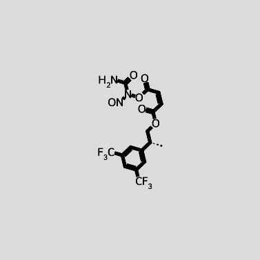 C[C@@H](COC(=O)/C=C\C(=O)ON(N=O)C(N)=O)c1cc(C(F)(F)F)cc(C(F)(F)F)c1